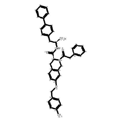 O=C(O)[C@H](Cc1ccc(-c2ccccc2)cc1)NC(=O)[C@@H]1Cc2ccc(OCc3ccc(C(F)(F)F)cc3)cc2CN1C(=O)Cc1ccccc1